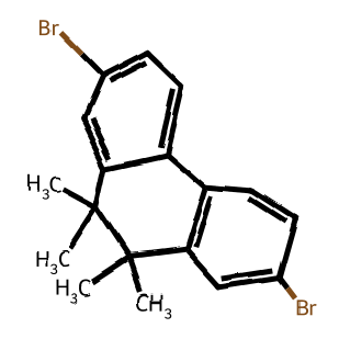 CC1(C)c2cc(Br)ccc2-c2ccc(Br)cc2C1(C)C